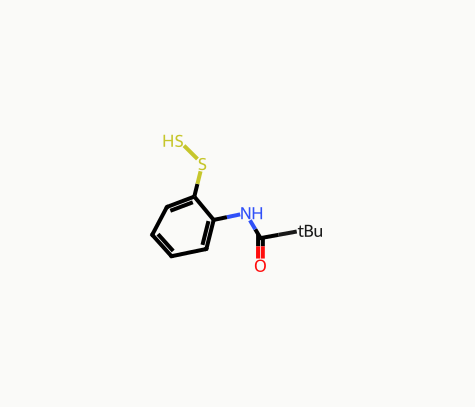 CC(C)(C)C(=O)Nc1ccccc1SS